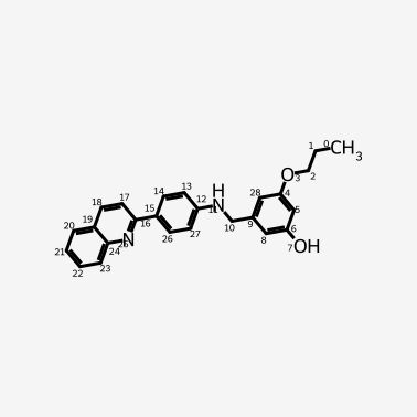 CCCOc1cc(O)cc(CNc2ccc(-c3ccc4ccccc4n3)cc2)c1